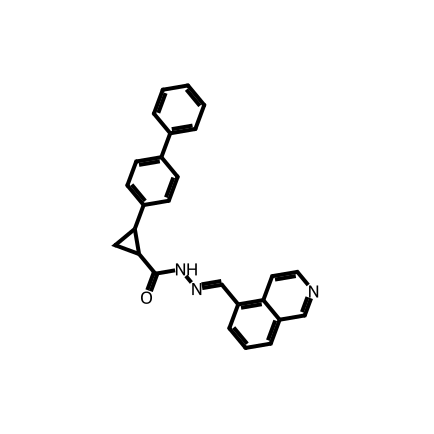 O=C(NN=Cc1cccc2cnccc12)C1CC1c1ccc(-c2ccccc2)cc1